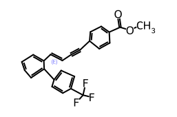 COC(=O)c1ccc(C#C/C=C/c2ccccc2-c2ccc(C(F)(F)F)cc2)cc1